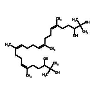 CC(=CCCC=C(C)CCC=C(C)CCC(O)C(C)(C)O)CCC=C(C)CCC(O)C(C)(C)O